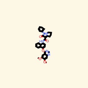 COc1cc2ncnc(Oc3ccc(NC(=O)c4c5n(n(-c6ccccc6)c4=O)CCCC5)c4ccccc34)c2cc1OC